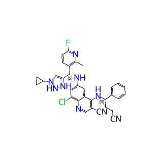 Cc1nc(F)ccc1[C@H](Nc1cc(Cl)c2ncc(C#N)c(N[C@H](CCC#N)c3ccccc3)c2c1)C1=CN(C2CC2)NN1